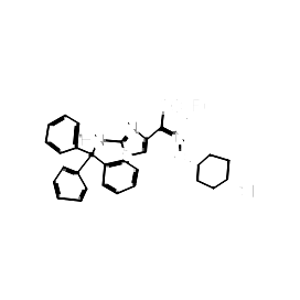 CCOC(=O)C(=NO[C@H]1CC[C@@H](Cl)CC1)c1csc(NC(c2ccccc2)(c2ccccc2)c2ccccc2)n1